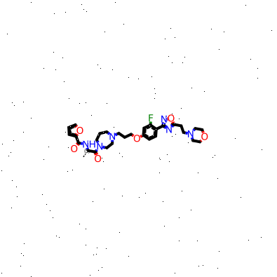 C[C@H](NC(=O)c1ccco1)C(=O)N1CCCN(CCCOc2ccc(-c3noc(CCN4CCOCC4)n3)c(F)c2)CC1